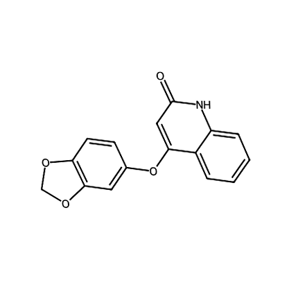 O=c1cc(Oc2ccc3c(c2)OCO3)c2ccccc2[nH]1